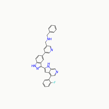 Fc1ccccc1-c1cncc2[nH]c(-c3n[nH]c4ccc(-c5cncc(CNCc6ccccc6)c5)cc34)cc12